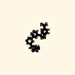 CC(NS(C)(=O)=O)C1CCCN(c2cc(-c3cnc4ccc(C(F)F)nn34)ccn2)C1